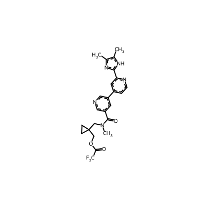 Cc1nc(-c2cc(-c3cncc(C(=O)N(C)CC4(COC(=O)C(F)(F)F)CC4)c3)ccn2)[nH]c1C